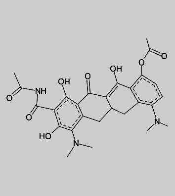 CC(=O)NC(=O)c1c(O)c2c(c(N(C)C)c1O)CC1Cc3c(N(C)C)ccc(OC(C)=O)c3C(O)=C1C2=O